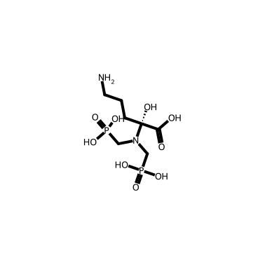 NCCC[C@@](O)(C(=O)O)N(CP(=O)(O)O)CP(=O)(O)O